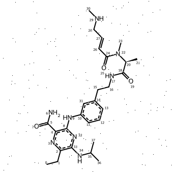 CCc1nc(C(N)=O)c(Nc2cccc(CCNC(=O)[C@H](C)N(C)C(=O)/C=C/CNC)c2)nc1NC(C)C